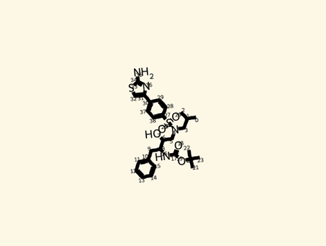 CC(C)CN(CC(O)C(Cc1ccccc1)NC(=O)OC(C)(C)C)S(=O)(=O)c1ccc(-c2csc(N)n2)cc1